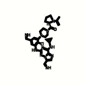 C=C(C)N1CCC[C@@H]1C(=O)N1CCN(c2cc(C=N)cc(Nc3nc(NC4CC4)c4ncc(C=N)n4n3)c2Cl)CC1